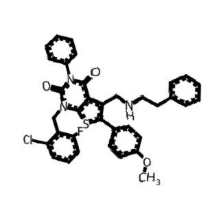 COc1ccc(-c2sc3c(c2CNCCc2ccccc2)c(=O)n(-c2ccccc2)c(=O)n3Cc2c(F)cccc2Cl)cc1